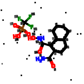 NC(=O)c1ccc2ccccc2c1C(=O)NO.O=S(=O)(O)C(F)(F)F